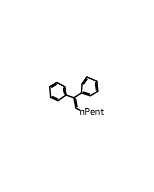 CCCCCC=C(c1ccccc1)c1ccccc1